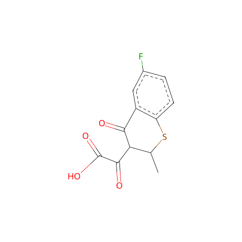 CC1Sc2ccc(F)cc2C(=O)C1C(=O)C(=O)O